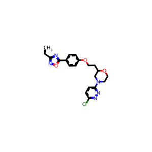 CCc1noc(-c2ccc(OCCC3CN(c4ccc(Cl)nn4)CCO3)cc2)n1